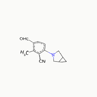 Cc1c(C=O)ccc(N2CC3CC3C2)c1C#N